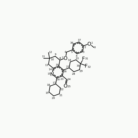 COc1ccc(COC2CC(C)(C)Cc3nc(C4CCCCC4)c(C=O)c(C4CCC(F)(F)CC4)c32)cc1